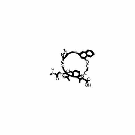 CNC(=O)Cn1nc(C)c2c1CSCc1cc(n(C)n1)CSc1cc(c3ccccc3c1)OCCCn1c(C(=O)O)c(C)c3c-2c(Cl)ccc31